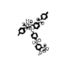 COc1ccc(S(=O)(=O)c2ccc(Oc3ccc(S(=O)(=O)c4ccc(C)cc4)cc3S(=O)(=O)NS(=O)(=O)c3ccc(C)cc3)cc2)cc1S(=O)(=O)Cl